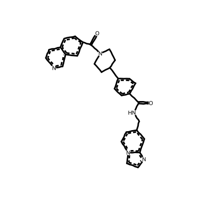 O=C(NCc1ccn2ccnc2c1)c1ccc(C2CCN(C(=O)c3ccc4ccncc4c3)CC2)cc1